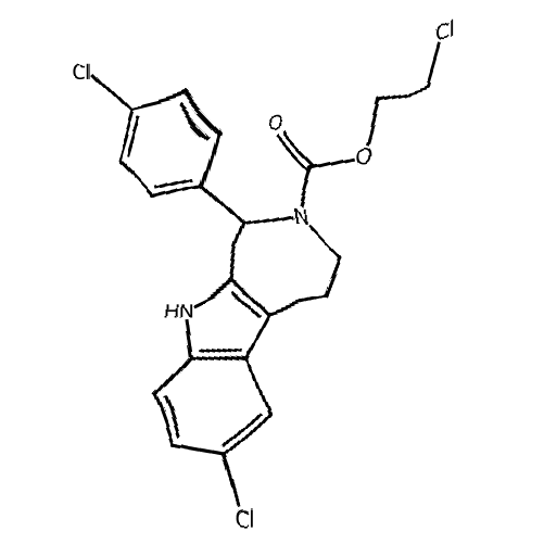 O=C(OCCCl)N1CCc2c([nH]c3ccc(Cl)cc23)C1c1ccc(Cl)cc1